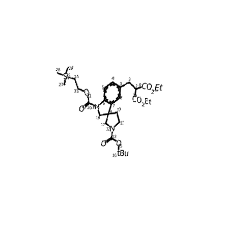 CCOC(=O)C(Cc1ccc2c(c1)C1(CCN(C(=O)OC(C)(C)C)C1)CN2C(=O)OCC[Si](C)(C)C)C(=O)OCC